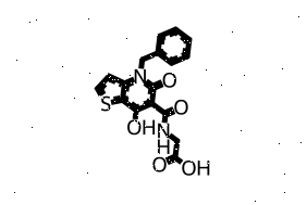 O=C(O)CNC(=O)c1c(O)c2sccc2n(Cc2ccccc2)c1=O